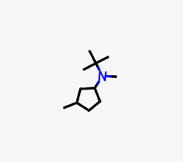 CC1CCC(N(C)C(C)(C)C)C1